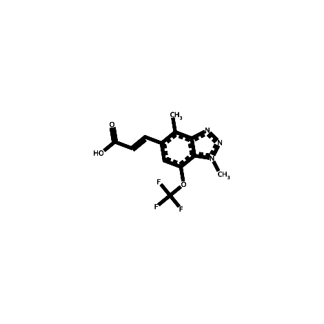 Cc1c(/C=C/C(=O)O)cc(OC(F)(F)F)c2c1nnn2C